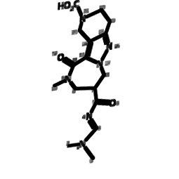 CN(C)C=NC(=O)C1CN(C)C(=O)c2c3c(nn2C1)CCN(C(=O)O)C3